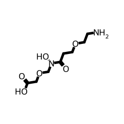 NCCOCCC(=O)N(O)COCC(=O)O